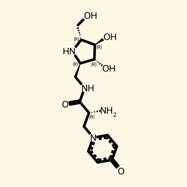 N[C@H](Cn1ccc(=O)cc1)C(=O)NC[C@H]1N[C@H](CO)[C@@H](O)[C@@H]1O